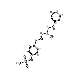 CS(=O)(=O)Nc1ccc(CNCC(O)COc2ccccc2)cc1